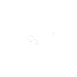 BN1CCC(CCc2noc3c(CO)c(OCC4CC4)ccc23)CC1